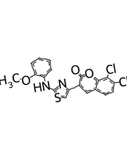 COc1ccccc1Nc1nc(-c2cc3ccc(Cl)c(Cl)c3oc2=O)cs1